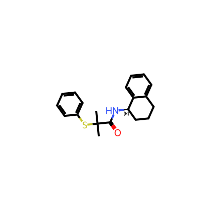 CC(C)(Sc1ccccc1)C(=O)N[C@@H]1CCCc2ccccc21